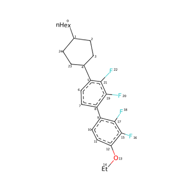 CCCCCCC1CCC(c2ccc(-c3ccc(OCC)c(F)c3F)c(F)c2F)CC1